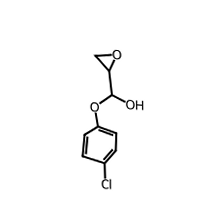 OC(Oc1ccc(Cl)cc1)C1CO1